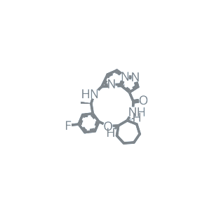 C[C@H]1Nc2ccn3ncc(c3n2)C(=O)N[C@H]2CCCCC[C@@H]2Oc2ccc(F)cc21